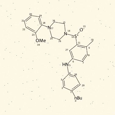 CCCCc1ccc(Nc2ccc(C)c([S+]([O-])N3CCN(c4ccccc4OC)CC3)c2)cc1